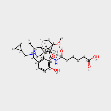 COC12CC[C@@]3(C[C@@H]1CNC(=O)CCCCC(=O)O)[C@H]1Cc4ccc(O)c5c4[C@@]3(CCN1CC1CC1)[C@H]2O5